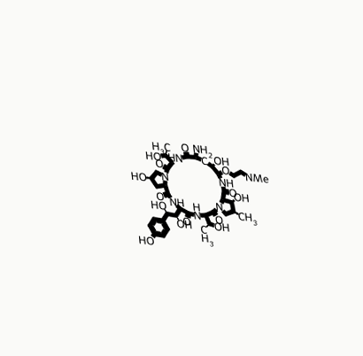 CNCCOC1NC(=O)C2[C@@H](O)[C@@H](C)CN2C(=O)C([C@@H](C)O)NC(=O)C([C@H](O)[C@@H](O)c2ccc(O)cc2)NC(=O)C2C[C@@H](O)CN2C(=O)C([C@@H](C)O)NC(=O)C(N)C[C@H]1O